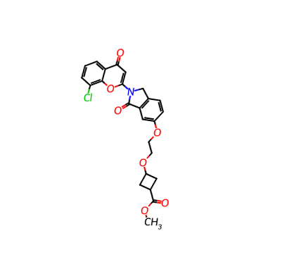 COC(=O)C1CC(OCCOc2ccc3c(c2)C(=O)N(c2cc(=O)c4cccc(Cl)c4o2)C3)C1